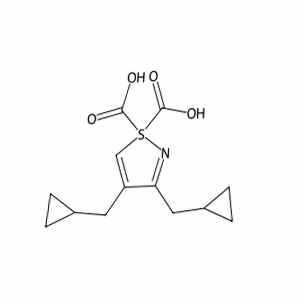 O=C(O)S1(C(=O)O)C=C(CC2CC2)C(CC2CC2)=N1